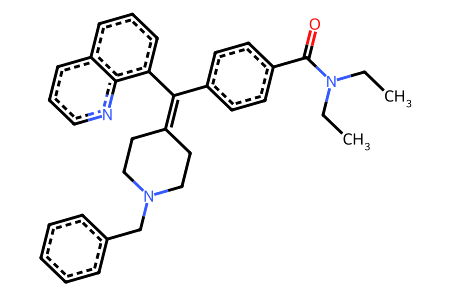 CCN(CC)C(=O)c1ccc(C(=C2CCN(Cc3ccccc3)CC2)c2cccc3cccnc23)cc1